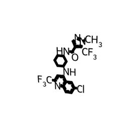 Cn1ncc(C(=O)N[C@@H]2CCC[C@H](Nc3cc(C(F)(F)F)nc4ccc(Cl)cc34)C2)c1C(F)(F)F